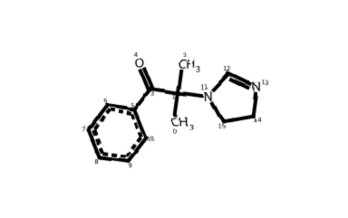 CC(C)(C(=O)c1ccccc1)N1C=NCC1